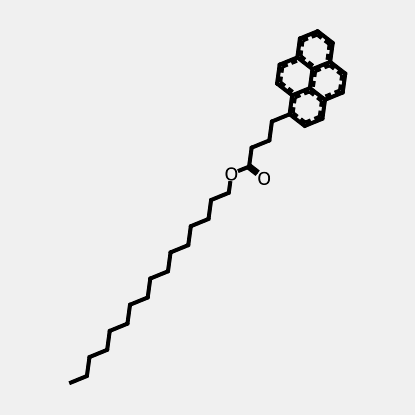 CCCCCCCCCCCCCCCCOC(=O)CCCc1ccc2ccc3cccc4ccc1c2c34